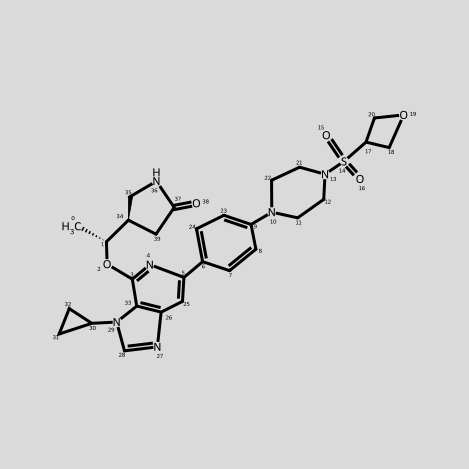 C[C@@H](Oc1nc(-c2ccc(N3CCN(S(=O)(=O)C4COC4)CC3)cc2)cc2ncn(C3CC3)c12)[C@H]1CNC(=O)C1